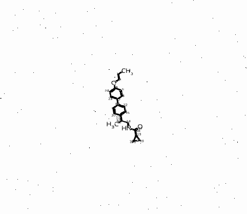 CCCOc1ccc(-c2ccc(C(C)CNC(=O)C3CC3)cc2)cc1